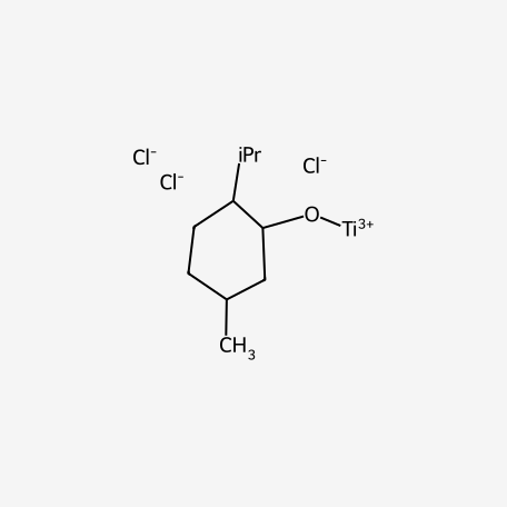 CC1CCC(C(C)C)C([O][Ti+3])C1.[Cl-].[Cl-].[Cl-]